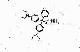 CCN(CC)c1ccc(C(SCN)(c2ccccc2)c2ccc(N(CC)CC)cc2)cc1